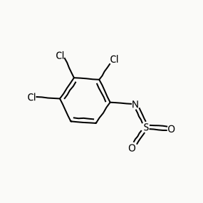 O=S(=O)=Nc1ccc(Cl)c(Cl)c1Cl